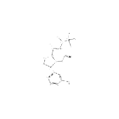 C=CCN1[C@@H]([C@H](C)N[S+]([O-])C(C)(C)C)CC[C@H]1c1cccc(Cl)c1